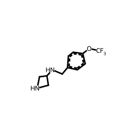 FC(F)(F)Oc1ccc(CNC2CNC2)cc1